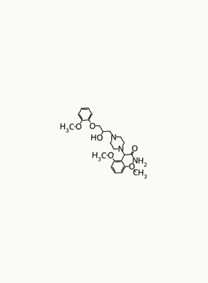 COc1ccccc1OCC(O)CN1CCN(C(C(N)=O)c2c(OC)cccc2OC)CC1